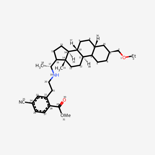 CCOC[C@H]1CCC2[C@H](CC[C@@H]3[C@@H]2CC[C@]2(C)C([C@@H](C)NCCc4cc(C#N)ccc4C(=O)OC)CC[C@@H]32)C1